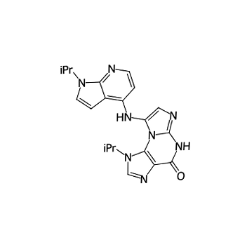 CC(C)n1ccc2c(Nc3cnc4[nH]c(=O)c5ncn(C(C)C)c5n34)ccnc21